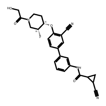 N#Cc1cc(-c2cccc(NC(=O)C3CC3C#N)c2)ccc1O[C@H]1CCN(C(=O)CO)C[C@H]1F